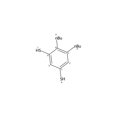 CCCCc1cc(S)cc(S)c1CCCC